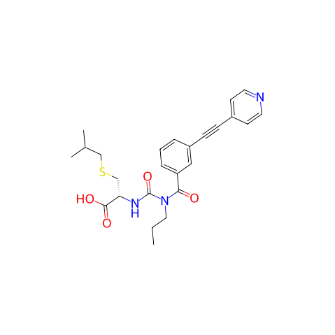 CCCN(C(=O)N[C@@H](CSCC(C)C)C(=O)O)C(=O)c1cccc(C#Cc2ccncc2)c1